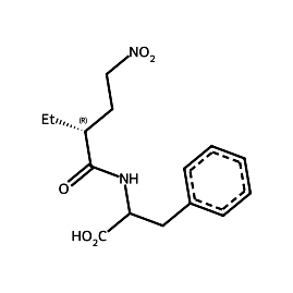 CC[C@H](CC[N+](=O)[O-])C(=O)NC(Cc1ccccc1)C(=O)O